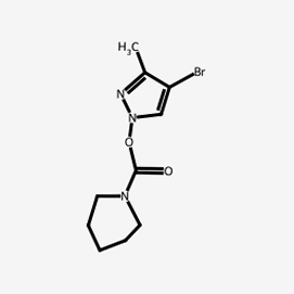 Cc1nn(OC(=O)N2CCCCC2)cc1Br